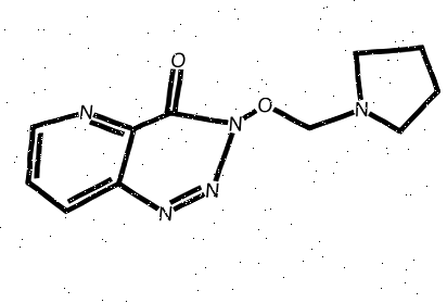 O=c1c2ncccc2nnn1OCN1CCCC1